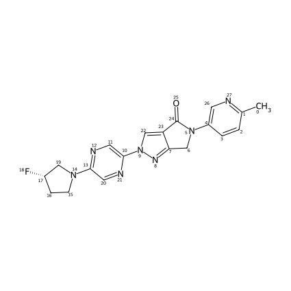 Cc1ccc(N2Cc3nn(-c4cnc(N5CC[C@H](F)C5)cn4)cc3C2=O)cn1